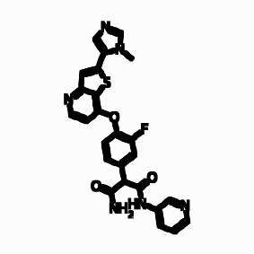 Cn1cncc1-c1cc2nccc(Oc3ccc(C(C(N)=O)C(=O)Nc4cccnc4)cc3F)c2s1